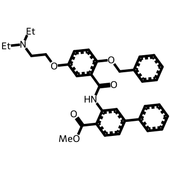 CCN(CC)CCOc1ccc(OCc2ccccc2)c(C(=O)Nc2cc(-c3ccccc3)ccc2C(=O)OC)c1